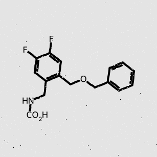 O=C(O)NCc1cc(F)c(F)cc1COCc1ccccc1